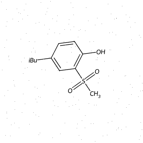 CCC(C)c1ccc(O)c(S(C)(=O)=O)c1